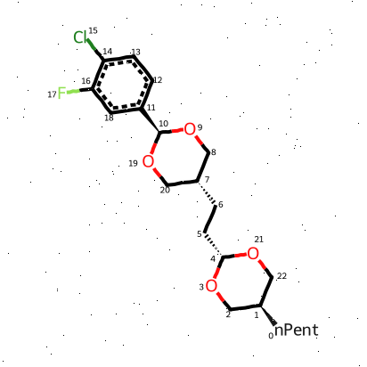 CCCCC[C@H]1CO[C@H](CC[C@H]2CO[C@H](c3ccc(Cl)c(F)c3)OC2)OC1